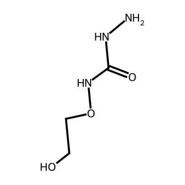 NNC(=O)NOCCO